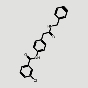 O=C(Cc1ccc(NC(=O)c2cccc(Cl)c2)cc1)NCc1cc#ccc1